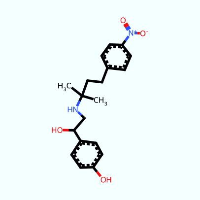 CC(C)(CCc1ccc([N+](=O)[O-])cc1)NCC(O)c1ccc(O)cc1